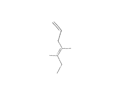 C=CC/C(C)=C(\C)CC